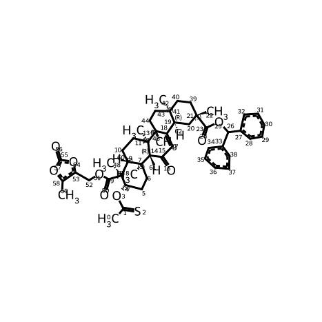 CC(=S)O[C@H]1CC[C@@]2(C)[C@@H](CC[C@]3(C)[C@@H]2C(=O)C=C2[C@@H]4C[C@@](C)(C(=O)OC(c5ccccc5)c5ccccc5)CC[C@]4(C)CC[C@]23C)[C@]1(C)C(=O)OCc1oc(=O)oc1C